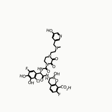 CN(CCN1CCN(C(=O)N[C@@H](C(=O)N[C@H]2Cc3ccc(F)c(C(=O)O)c3OB2O)c2cc(F)c(O)c(O)c2Cl)C(=O)C1=O)Cc1cncc(O)c1